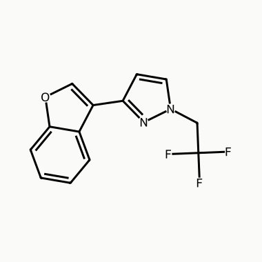 FC(F)(F)Cn1ccc(-c2coc3ccccc23)n1